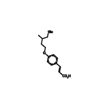 CC(CCOc1ccc(C=CC(=O)O)cc1)CC(C)(C)C